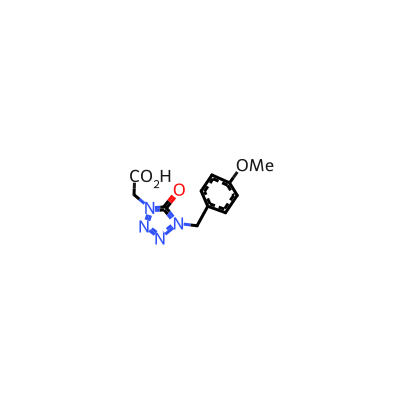 COc1ccc(Cn2nnn(CC(=O)O)c2=O)cc1